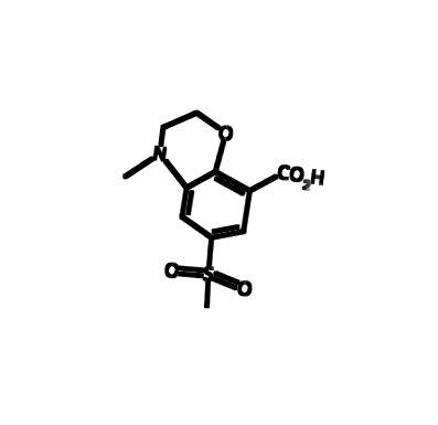 CN1CCOc2c(C(=O)O)cc(S(C)(=O)=O)cc21